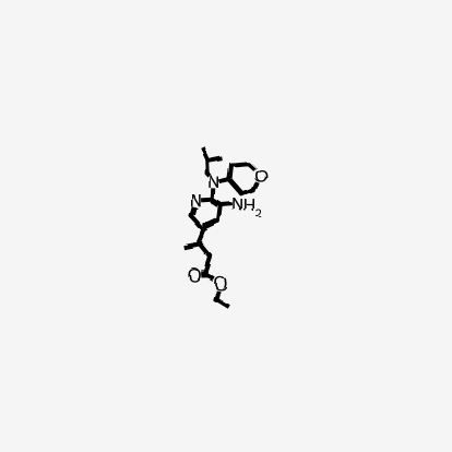 CCOC(=O)CC(C)c1cnc(N(CC(C)C)C2CCOCC2)c(N)c1